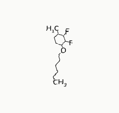 CCCCCCOC1CCC(C)C(F)C1F